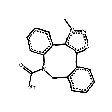 CCCC(=O)N1Cc2ccccc2-c2nnn(C)c2-c2ccccc21